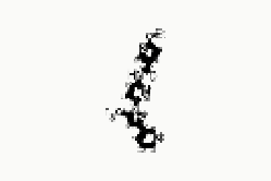 CCOc1ccc(C(=O)Nc2ccc(-n3nc(-c4cccnc4)cc3C(F)(F)F)nn2)cn1